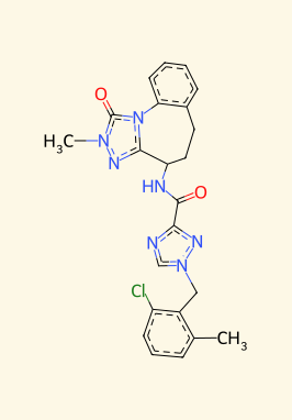 Cc1cccc(Cl)c1Cn1cnc(C(=O)NC2CCc3ccccc3-n3c2nn(C)c3=O)n1